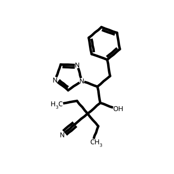 CCC(C#N)(CC)C(O)C(Cc1ccccc1)n1cncn1